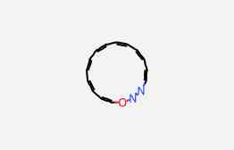 c1ccccccconncccccc1